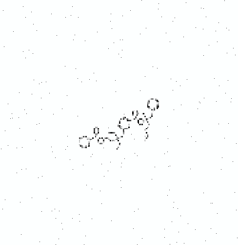 CCCCC(CC)(Cc1cc[c]cc1)OC(=O)c1cccc(CC(CC)(CC)CCOC(=O)c2ccccc2)c1